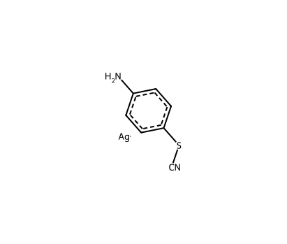 N#CSc1ccc(N)cc1.[Ag]